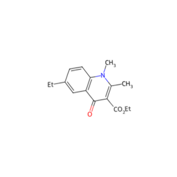 CCOC(=O)c1c(C)n(C)c2ccc(CC)cc2c1=O